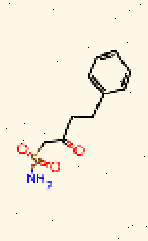 NS(=O)(=O)CC(=O)CCc1ccccc1